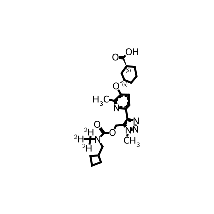 [2H]C([2H])([2H])N(CC1CCC1)C(=O)OCc1c(-c2ccc(O[C@H]3CCC[C@H](C(=O)O)C3)c(C)n2)nnn1C